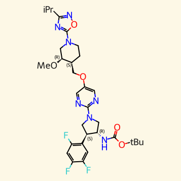 CO[C@H]1CN(c2nc(C(C)C)no2)CC[C@H]1COc1cnc(N2C[C@H](NC(=O)OC(C)(C)C)[C@@H](c3cc(F)c(F)cc3F)C2)nc1